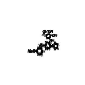 COc1cc(Nc2ncc(-n3cccn3)c(N[C@@H]3C[C@H](CO)[C@@H](O)[C@H]3O)n2)ccn1